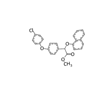 COC(=O)C(Oc1cccc2ccccc12)c1ccc(Oc2ccc(Cl)cc2)cc1